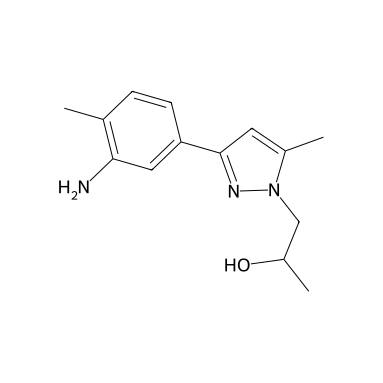 Cc1ccc(-c2cc(C)n(CC(C)O)n2)cc1N